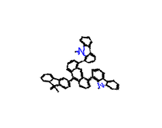 Cn1c2ccccc2c2cccc(-c3cccc4c(-c5ccc6c(c5)-c5ccccc5C6(C)C)c5cccc(-c6cccc7c8ccccc8n(C)c67)c5cc34)c21